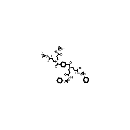 C[C@H]1C[C@@H]1NC(=O)CCN(CCC(=O)N[C@H]1C[C@@H]1C)C(=O)c1ccc(C(=O)N(CCC(=O)N[C@H]2C[C@@H]2c2ccccc2)CCC(O)N[C@H]2C[C@@H]2c2ccccc2)cc1